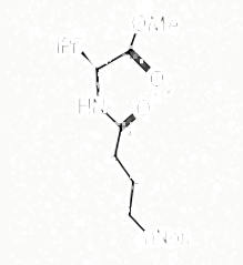 CCCCCCCCCCCCC(=O)N[C@H](C(=O)OC)C(C)C